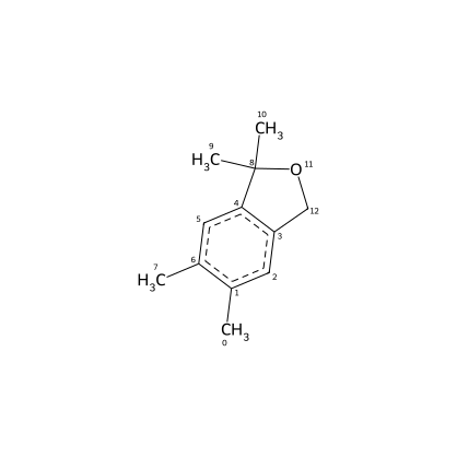 Cc1cc2c(cc1C)C(C)(C)OC2